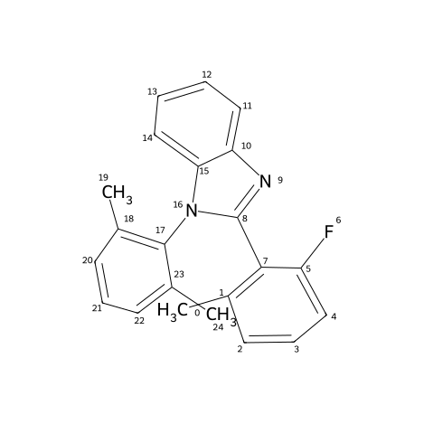 Cc1cccc(F)c1-c1nc2ccccc2n1-c1c(C)cccc1C